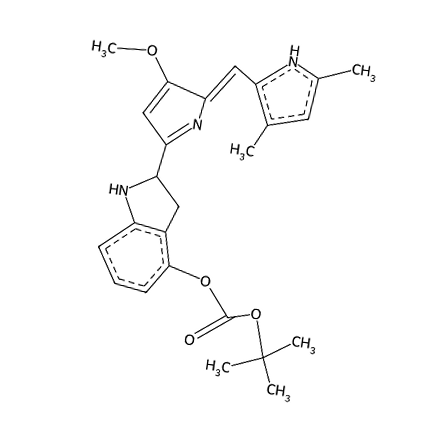 COC1=CC(C2Cc3c(cccc3OC(=O)OC(C)(C)C)N2)=N/C1=C\c1[nH]c(C)cc1C